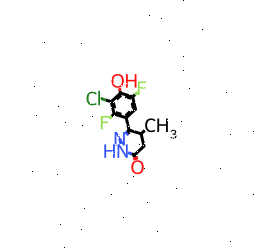 CC1CC(=O)NN=C1c1cc(F)c(O)c(Cl)c1F